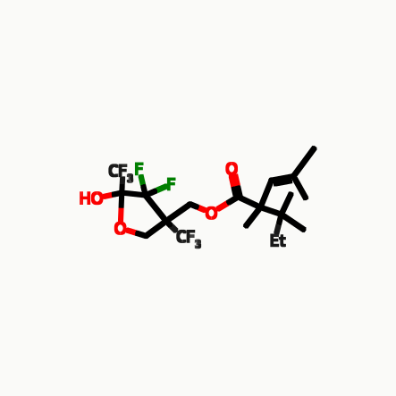 CCC(C)(C)C(C)(C=C(C)C)C(=O)OCC1(C(F)(F)F)COC(O)(C(F)(F)F)C1(F)F